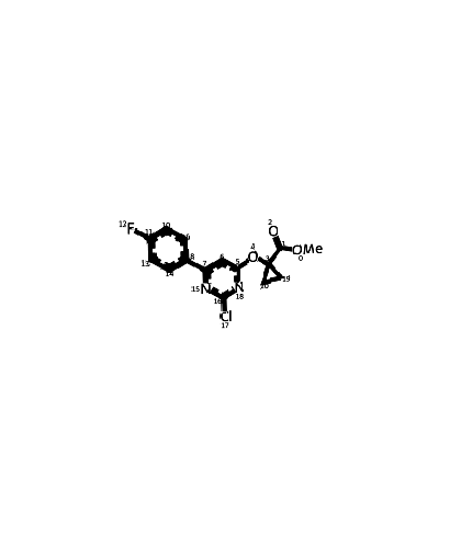 COC(=O)C1(Oc2cc(-c3ccc(F)cc3)nc(Cl)n2)CC1